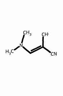 [CH]C(C#N)=CN(C)C